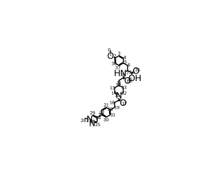 COc1ccc(CC(NC(=O)CC2CCN(C(=O)CCc3ccc(-c4cnn(C)c4)cc3)CC2)C(=O)O)cc1